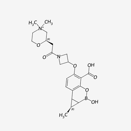 C[C@@H]1C2B(O)Oc3c(ccc(OC4CN(C(=O)C[C@@H]5C[N+](C)(C)CCO5)C4)c3C(=O)O)C21